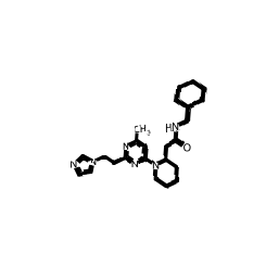 Cc1cc(N2CCCCC2CC(=O)NCC2CCCCC2)nc(CCn2ccnc2)n1